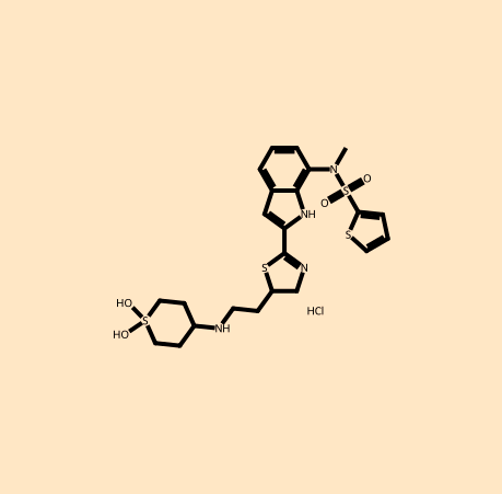 CN(c1cccc2cc(C3=NCC(CCNC4CCS(O)(O)CC4)S3)[nH]c12)S(=O)(=O)c1cccs1.Cl